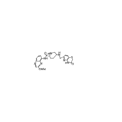 COc1cnc2cccc(NC(=O)C3CCC(NCc4ccc5c(n4)NC(=O)CS5)CN3)c2n1